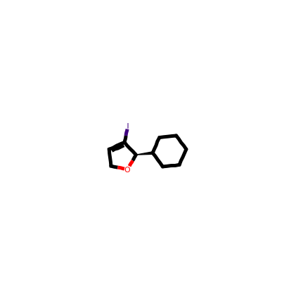 IC1=CCO[C@@H]1C1CCCCC1